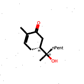 CCCCC[C@](C)(O)[C@@H]1CC=C(C)C(=O)C1